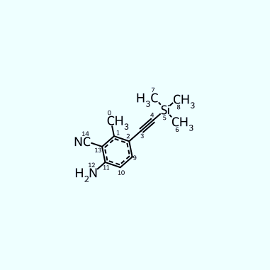 Cc1c(C#C[Si](C)(C)C)ccc(N)c1C#N